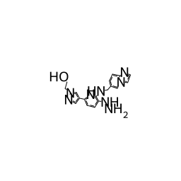 NNc1ccc(-c2cnn(CCO)c2)nc1NCc1ccc2nccn2c1